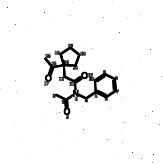 CC(=O)N(Cc1ccccc1)C(=O)CC1(C(C)=O)CCCC1